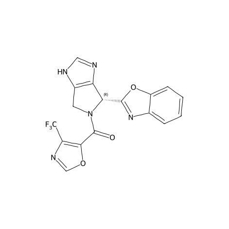 O=C(c1ocnc1C(F)(F)F)N1Cc2[nH]cnc2[C@@H]1c1nc2ccccc2o1